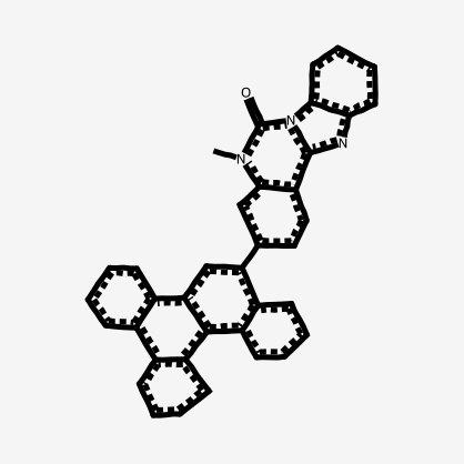 Cn1c(=O)n2c3ccccc3nc2c2ccc(-c3cc4c5ccccc5c5ccccc5c4c4ccccc34)cc21